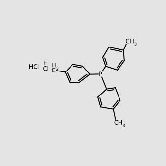 Cc1ccc(P(c2ccc(C)cc2)c2ccc(C)cc2)cc1.Cl.Cl